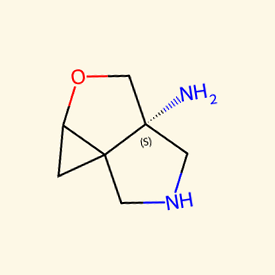 N[C@]12CNCC13CC3OC2